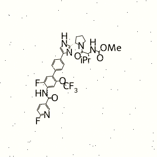 COC(=O)N[C@H](C(=O)N1CCC[C@H]1c1nc(-c2ccc(-c3cc(F)c(NC(=O)c4ccc(F)nc4)cc3OC(F)(F)F)cc2)c[nH]1)C(C)C